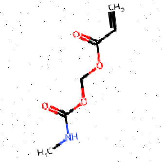 C=CC(=O)OCOC(=O)NC